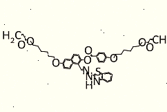 C=CC(=O)OCCCCCCOc1ccc(C(=O)Oc2ccc3cc(OCCCCCCOC(=O)C=C)ccc3c2/C=N/Nc2nc3ccccc3s2)cc1